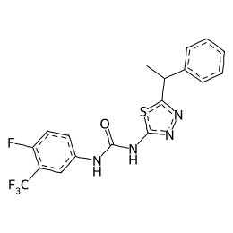 CC(c1ccccc1)c1nnc(NC(=O)Nc2ccc(F)c(C(F)(F)F)c2)s1